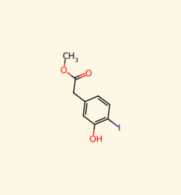 COC(=O)Cc1ccc(I)c(O)c1